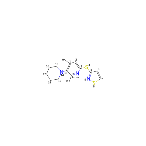 Cc1cc(Sc2ccsn2)nc(C)c1N1CCCCC1